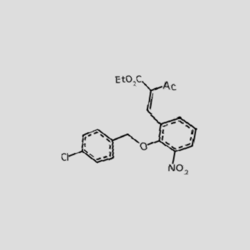 CCOC(=O)C(=Cc1cccc([N+](=O)[O-])c1OCc1ccc(Cl)cc1)C(C)=O